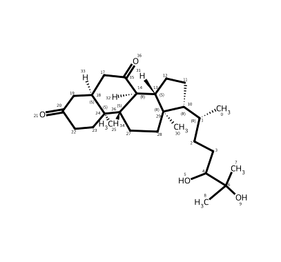 C[C@H](CCC(O)C(C)(C)O)[C@H]1CC[C@H]2[C@@H]3C(=O)C[C@@H]4CC(=O)CC[C@]4(C)[C@H]3CC[C@]12C